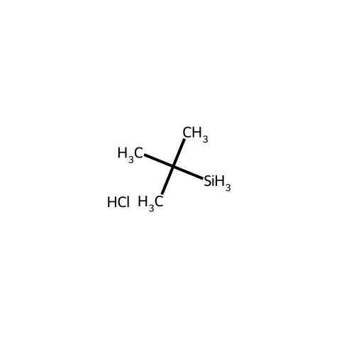 CC(C)(C)[SiH3].Cl